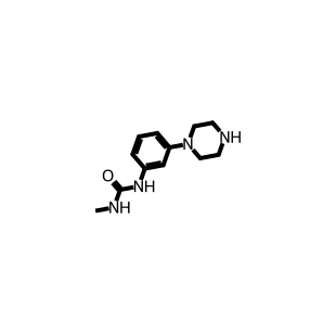 CNC(=O)Nc1cccc(N2CCNCC2)c1